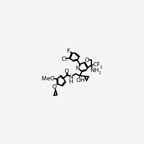 COc1cc(C(=O)NC[C@](O)(c2cc3c(c(-c4ccc(F)c(Cl)c4)n2)OC[C@@]3(N)C(F)(F)F)C2CC2)ccc1OC1CC1